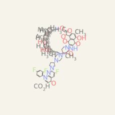 CO[C@H]1/C=C/O[C@@]2(C)Oc3c(C)c(O)c4c(c3C2=O)C(=O)C(N2CCC(N3CCN(C5CCN(c6nc7c(cc6F)c(=O)c(C(=O)O)cn7-c6ccc(F)cc6F)C5)CC3)CC2)=C(NC(=O)/C(C)=C\C=C\[C@H](C)[C@H](O)[C@@H](C)[C@@H](O)[C@@H](C)[C@H](OC(C)=O)[C@@H]1C)C4=O